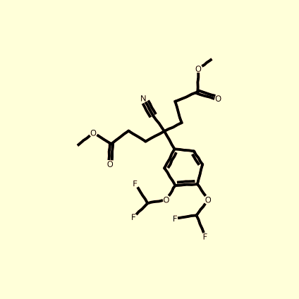 COC(=O)CCC(C#N)(CCC(=O)OC)c1ccc(OC(F)F)c(OC(F)F)c1